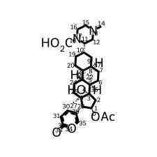 CC(=O)O[C@H]1C[C@]2(O)[C@@H]3CC[C@@H]4C[C@@H](C5CN(C)CCN5C(=O)O)CC[C@]4(C)[C@H]3CC[C@]2(C)[C@H]1c1ccc(=O)oc1